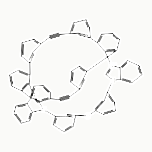 c1c2cccc(c2)c2cccc3c2-[n+]2cn(c4ccccc42)-c2cccc(c2)Oc2cccc(c2)-n2c[n+](c4ccccc42)-c2c(cccc2c2cccc(c#cc4cccc3c4)c2)c2cccc(c#1)c2